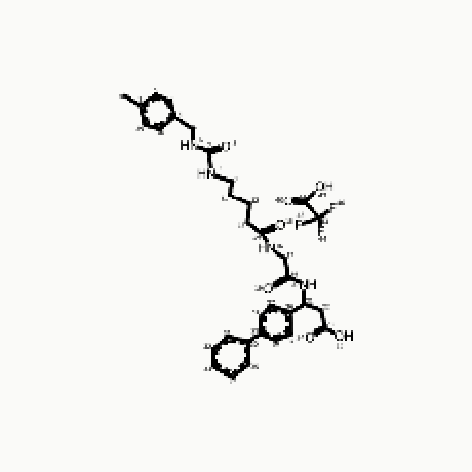 Cc1ccc(CNC(=O)NCCCCC(=O)NCC(=O)NC(CC(=O)O)c2ccc(-c3ccccc3)cc2)cc1.O=C(O)C(F)(F)F